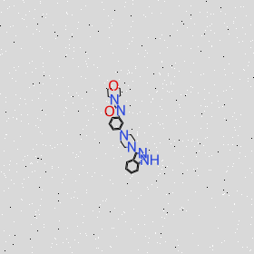 c1ccc2c(N3CCN(c4ccc5oc(N6CCOCC6)nc5c4)CC3)n[nH]c2c1